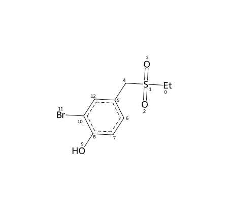 CCS(=O)(=O)Cc1ccc(O)c(Br)c1